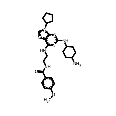 COc1ccc(C(=O)NCCNc2nc(NC3CCC(N)CC3)nc3c2ncn3C2CCCC2)cc1